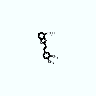 Cc1ccc(/C=C/c2nc3c(C(=O)O)cccc3o2)cc1C